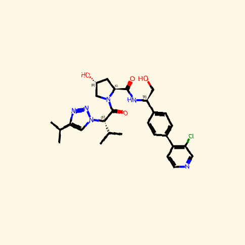 CC(C)c1cn([C@H](C(=O)N2C[C@H](O)C[C@H]2C(=O)N[C@@H](CO)c2ccc(-c3ccncc3Cl)cc2)C(C)C)nn1